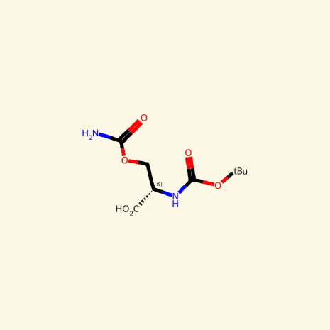 CC(C)(C)OC(=O)N[C@@H](COC(N)=O)C(=O)O